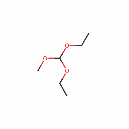 [CH2]COC(OC)OCC